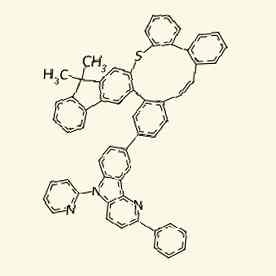 CC1(C)c2ccccc2-c2cc3c(cc21)Sc1ccccc1-c1ccccc1/C=C\c1ccc(-c2ccc4c(c2)c2nc(-c5ccccc5)ccc2n4-c2ccccn2)cc1-3